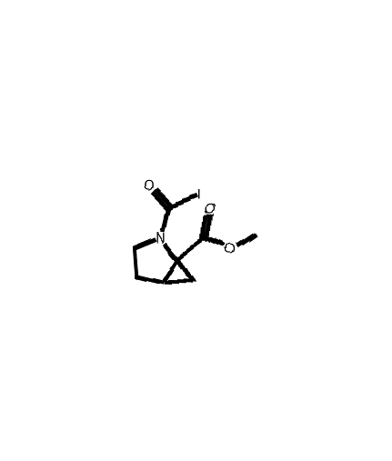 COC(=O)C12CC1CCN2C(=O)I